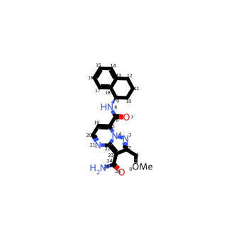 COCc1nn2c(C(=O)N[C@@H]3CCCc4ccccc43)ccnc2c1C(N)=O